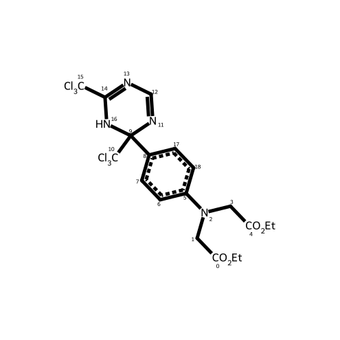 CCOC(=O)CN(CC(=O)OCC)c1ccc(C2(C(Cl)(Cl)Cl)N=CN=C(C(Cl)(Cl)Cl)N2)cc1